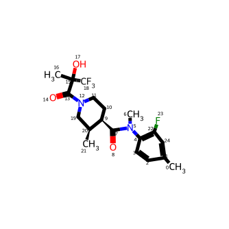 Cc1ccc(N(C)C(=O)[C@@H]2CCN(C(=O)C(C)(O)C(F)(F)F)C[C@@H]2C)c(F)c1